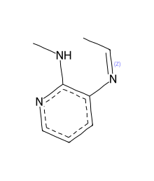 C/C=N\c1cccnc1NC